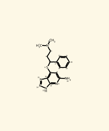 CN(C)CCC(Sc1cc(N)nc2[nH]nnc12)c1ccccc1